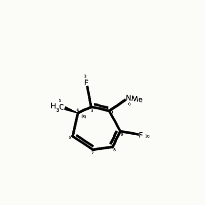 CNC1=C(F)[C@H](C)C=CC=C1F